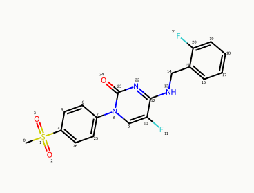 CS(=O)(=O)c1ccc(-n2cc(F)c(NCc3ccccc3F)nc2=O)cc1